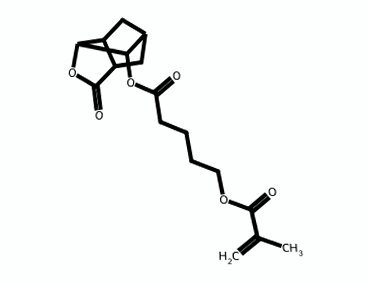 C=C(C)C(=O)OCCCCC(=O)OC1C2CC3C(=O)OC1C3C2